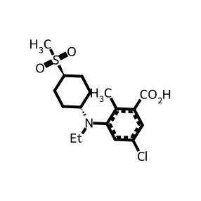 CCN(c1cc(Cl)cc(C(=O)O)c1C)[C@H]1CC[C@H](S(C)(=O)=O)CC1